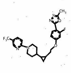 Cc1nnc(-c2ccc(OCCC3CC3C3CCN(c4ccc(C(F)(F)F)cn4)CC3)cc2F)o1